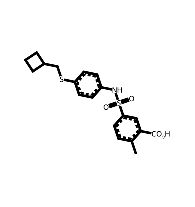 Cc1ccc(S(=O)(=O)Nc2ccc(SCC3CCC3)cc2)cc1C(=O)O